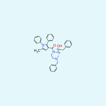 Cc1cc(C(=O)N2CCN(Cc3ccccc3)C[C@H]2[C@H](O)Cc2ccccc2)c(-c2ccccc2)n1-c1ccccc1